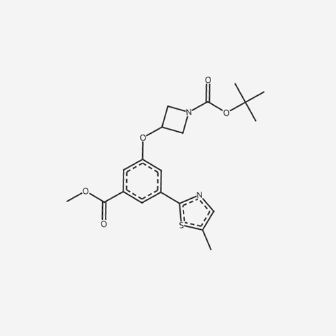 COC(=O)c1cc(OC2CN(C(=O)OC(C)(C)C)C2)cc(-c2ncc(C)s2)c1